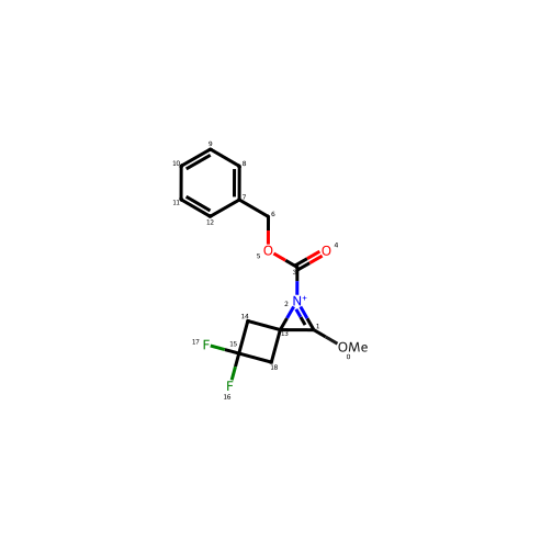 COC1=[N+](C(=O)OCc2ccccc2)C12CC(F)(F)C2